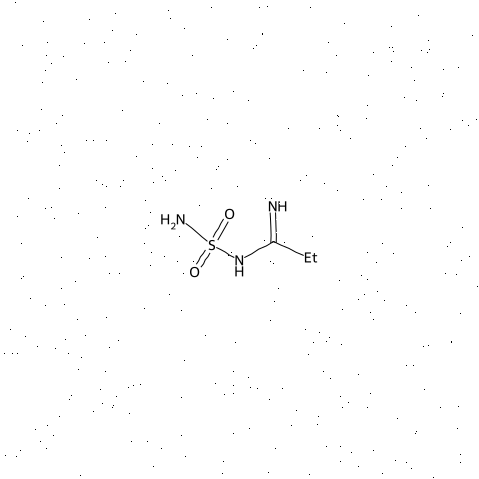 CCC(=N)NS(N)(=O)=O